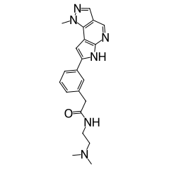 CN(C)CCNC(=O)Cc1cccc(-c2cc3c(ncc4cnn(C)c43)[nH]2)c1